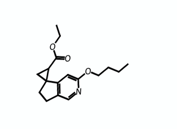 CCCCOc1cc2c(cn1)CCC21CC1C(=O)OCC